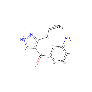 C=CCc1n[nH]cc1C(=O)c1cccc(N)c1